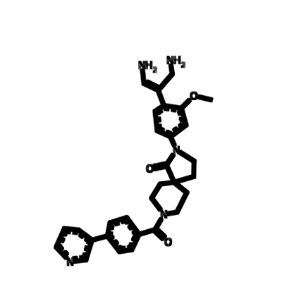 COc1cc(N2CCC3(CCN(C(=O)c4ccc(-c5cccnc5)cc4)CC3)C2=O)ccc1/C(=C/N)CN